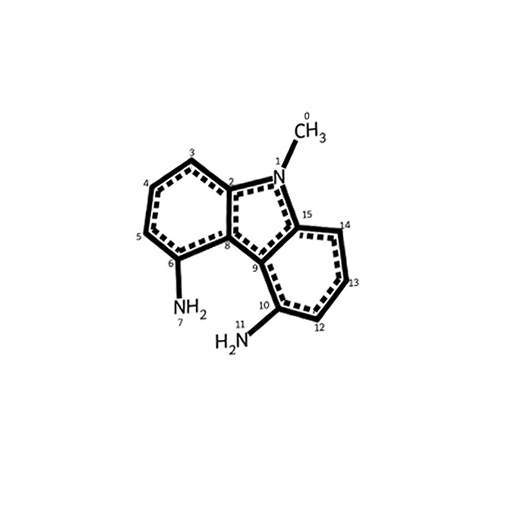 Cn1c2cccc(N)c2c2c(N)cccc21